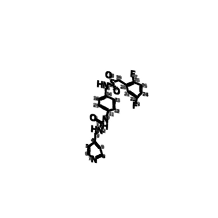 O=C(NCc1ccncc1)Nc1ccc(NS(=O)(=O)Cc2cc(F)ccc2F)cc1